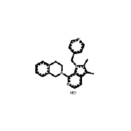 Cc1c(C)n(Cc2ccncc2)c2c(N3CCc4ccccc4C3)nccc12.Cl